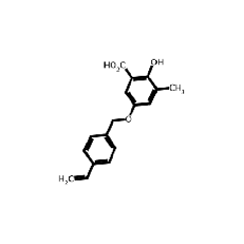 C=Cc1ccc(COc2cc(C)c(O)c(C(=O)O)c2)cc1